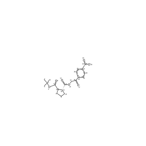 CC(C)(C)OC(=O)N1CCC[C@H]1C(=O)OCC(=O)c1ccc([N+](=O)[O-])cc1